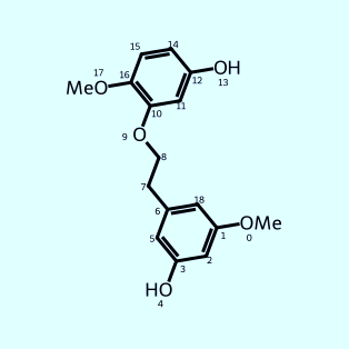 COc1cc(O)cc(CCOc2cc(O)ccc2OC)c1